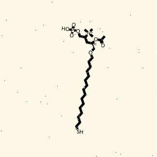 CC(=O)O[C@@H](COCCCCCCCCCCCCCCCCS)CC(COP(=O)([O-])O)[N+](C)(C)C